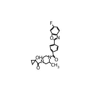 CC1CN(C(=O)C2(O)CC2)CCN1C(=O)c1ccc(-c2nc3ccc(F)cc3o2)cc1